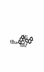 Cc1c2c(c(CC(C)(C)C)c3ccc4ccccc4c13)Sc1c3ccc(CC(C)(C)C)cc3cc3cc[n+](C)c-2c13